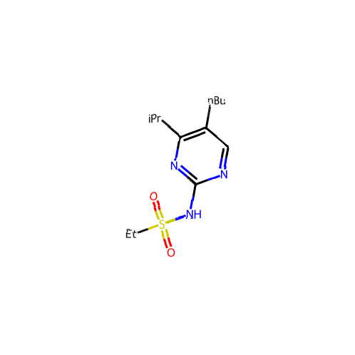 CCCCc1cnc(NS(=O)(=O)CC)nc1C(C)C